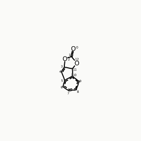 O=C1OC2=Cc3ccccc3C2O1